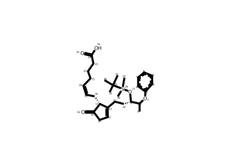 CC(Oc1ccccc1)[C@H](CCC1=CCC(=O)[C@@H]1C/C=C\CCCC(=O)O)O[Si](C)(C)C(C)(C)C